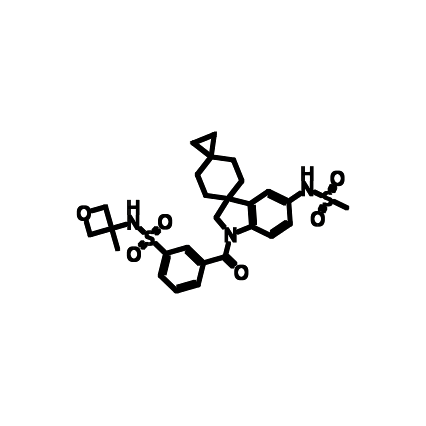 CC1(NS(=O)(=O)c2cccc(C(=O)N3CC4(CCC5(CC5)CC4)c4cc(NS(C)(=O)=O)ccc43)c2)COC1